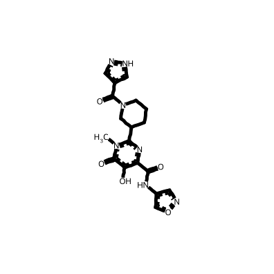 Cn1c(C2CCCN(C(=O)c3cn[nH]c3)C2)nc(C(=O)Nc2cnoc2)c(O)c1=O